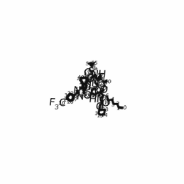 C=CCCCCC[C@H](NC(=O)OC1CCCC1)C(=O)N1C[C@H](Oc2nc(-c3ccc(C(F)(F)F)cc3)nc3c2oc2ccccc23)C[C@H]1C(=O)N[C@]1(C(=O)N[S+]([O-])C2CC2)C[C@H]1C=C